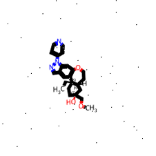 CC[C@]12CC[C@@](O)(COC)C[C@H]1CCOc1cc3c(cnn3-c3ccncc3)cc12